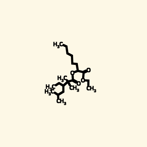 CCCCCCC(OC(=O)C(C)(C)C(CC)CC(C)C)C(=O)OCC